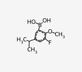 COc1c(F)cc(C(C)C)cc1B(O)O